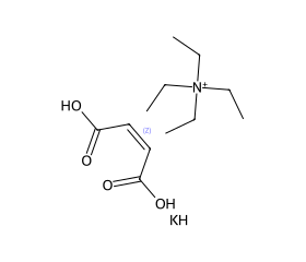 CC[N+](CC)(CC)CC.O=C(O)/C=C\C(=O)O.[KH]